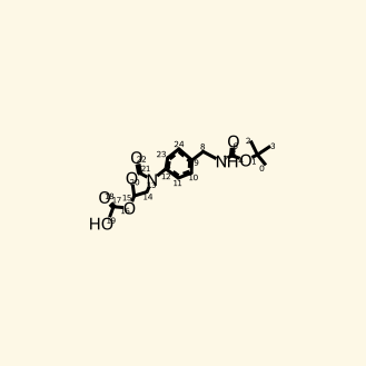 CC(C)(C)OC(=O)NCc1ccc(N2CC(OC(=O)O)OC2=O)cc1